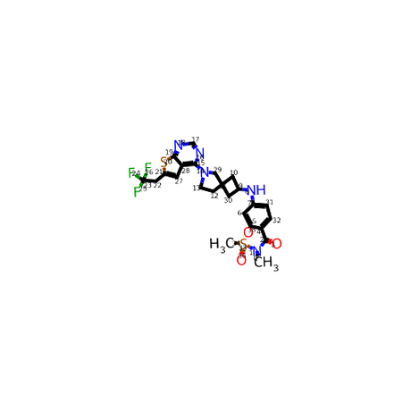 CN(C(=O)c1ccc(NC2CC3(CCN(c4ncnc5sc(CC(F)(F)F)cc45)C3)C2)cc1)S(C)(=O)=O